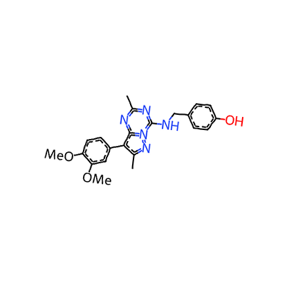 COc1ccc(-c2c(C)nn3c(NCc4ccc(O)cc4)nc(C)nc23)cc1OC